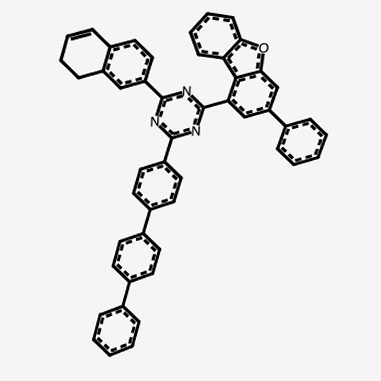 C1=Cc2ccc(-c3nc(-c4ccc(-c5ccc(-c6ccccc6)cc5)cc4)nc(-c4cc(-c5ccccc5)cc5oc6ccccc6c45)n3)cc2CC1